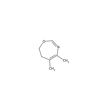 CC1=C(C)N=COCC1